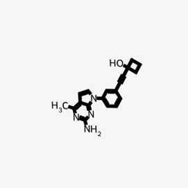 Cc1nc(N)nc2c1ccn2-c1cccc(C#CC2(O)CCC2)c1